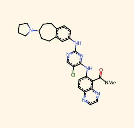 CNC(=O)c1c(Nc2nc(Nc3ccc4c(c3)CC[C@@H](N3CCCC3)CC4)ncc2Cl)ccc2nccnc12